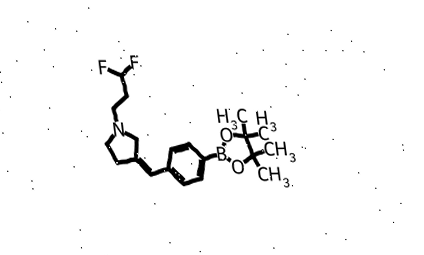 CC1(C)OB(c2ccc(/C=C3/CCN(CCC(F)F)C3)cc2)OC1(C)C